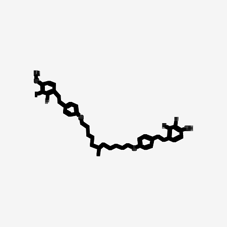 CCOc1ccc(CCc2ccc(OCCCCCC(C)CCCCCOc3ccc(CCc4ccc(O)c(F)c4F)cc3)cc2)c(F)c1F